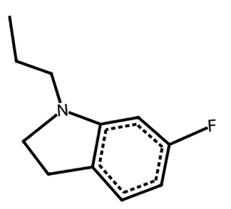 CCCN1CCc2ccc(F)cc21